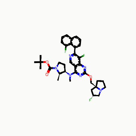 C[C@@H]1[C@H](N(C)c2nc(OC[C@@]34CCCN3C[C@H](F)C4)nc3c(F)c(-c4cccc5cccc(F)c45)ncc23)CCN1C(=O)OC(C)(C)C